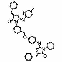 Cc1ccc(/N=C2\S/C(=C\c3ccccc3)C(=O)N2c2cccc(COc3ccc(/N=C4\S/C(=C\c5ccccc5)C(=O)N4c4ccccc4)cc3)c2)nc1